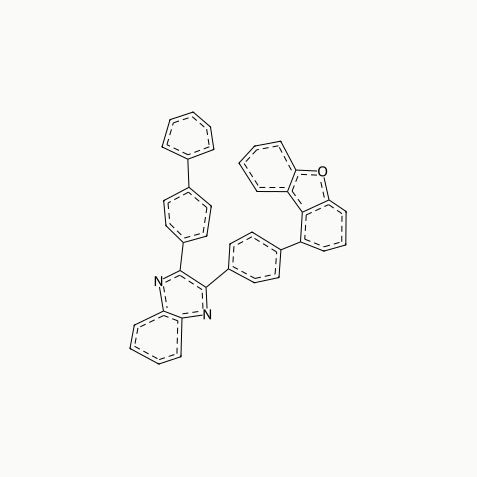 c1ccc(-c2ccc(-c3nc4ccccc4nc3-c3ccc(-c4cccc5oc6ccccc6c45)cc3)cc2)cc1